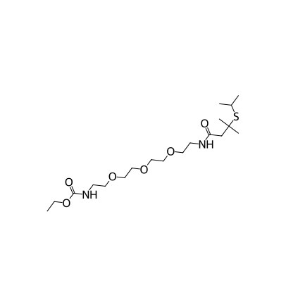 CCOC(=O)NCCOCCOCCOCCNC(=O)CC(C)(C)SC(C)C